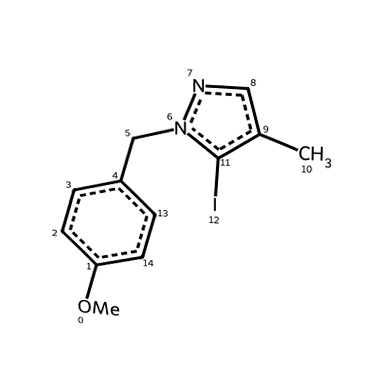 COc1ccc(Cn2ncc(C)c2I)cc1